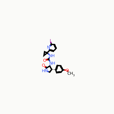 COc1ccc([C@@H]2CNC(=O)[C@H]2NC(=O)NC2(c3cccc(I)n3)CC2)cc1